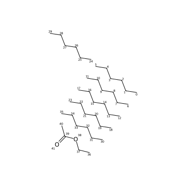 CCCCCC.CCCCCC.CCCCCC.CCCCCC.CCCCCC.CCCCCC.CCOC(C)=O